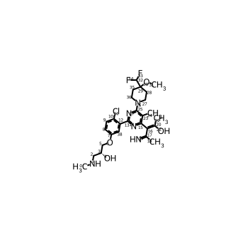 CNC[C@@H](O)COc1ccc(Cl)c(-c2nc(/C(C(C)=N)=C(\C)O)c(C)c(N3CCC(OC)(C(F)F)CC3)n2)c1